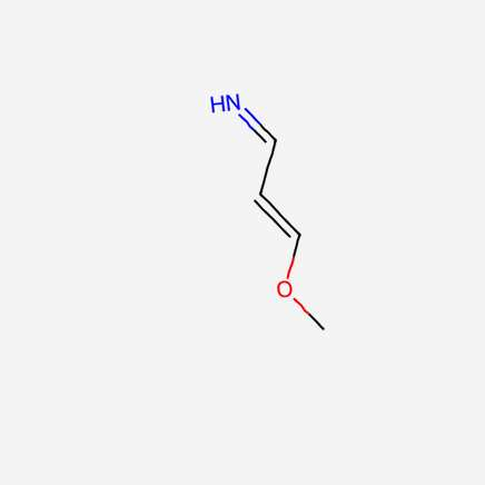 COC=CC=N